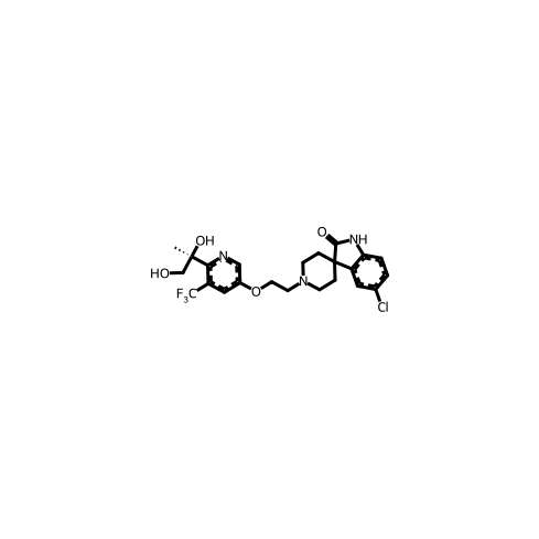 C[C@@](O)(CO)c1ncc(OCCN2CCC3(CC2)C(=O)Nc2ccc(Cl)cc23)cc1C(F)(F)F